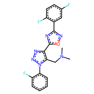 CN(C)Cc1c(-c2nc(-c3cc(F)ccc3F)no2)nnn1-c1ccccc1F